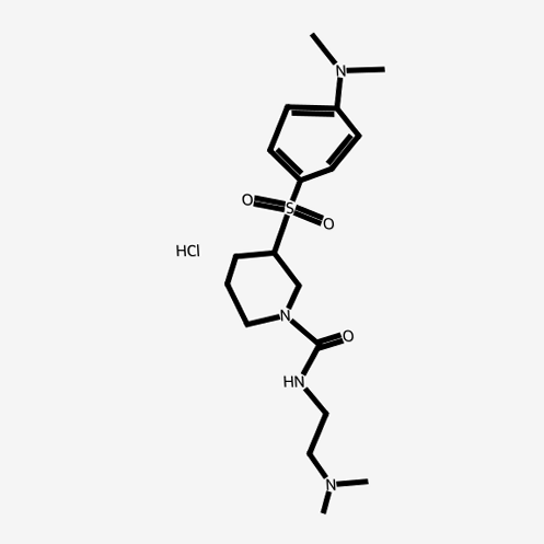 CN(C)CCNC(=O)N1CCCC(S(=O)(=O)c2ccc(N(C)C)cc2)C1.Cl